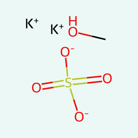 CO.O=S(=O)([O-])[O-].[K+].[K+]